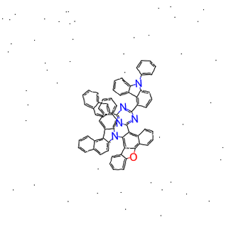 c1ccc(-n2c3ccccc3c3c(-c4nc(-c5ccc6ccccc6c5)nc(-c5c(-n6c7cc8ccccc8cc7c7c8ccccc8ccc76)c6c7ccccc7oc6c6ccccc56)n4)cccc32)cc1